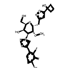 CO[C@@H]1[C@@H](n2cc(-c3ccc(C)c(F)c3F)nn2)[C@@H](O)[C@@H](CO)O[C@@H]1Cc1cc(C2(O)CCC2)on1